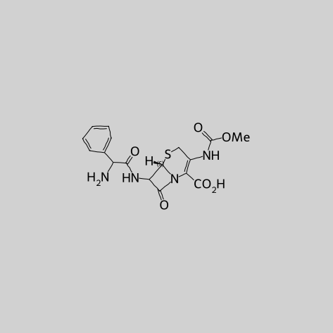 COC(=O)NC1=C(C(=O)O)N2C(=O)C(NC(=O)C(N)c3ccccc3)[C@@H]2SC1